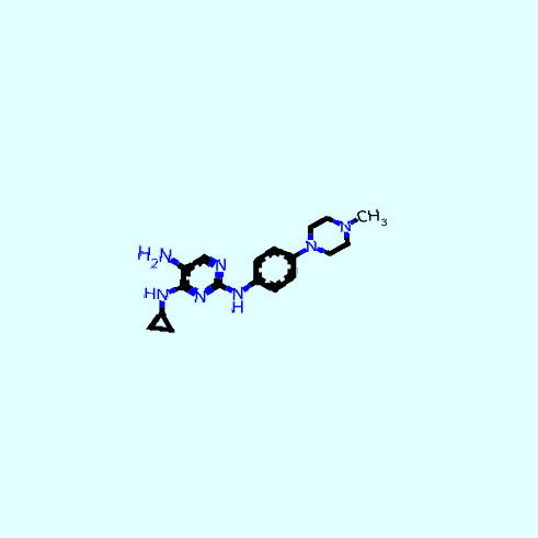 CN1CCN(c2ccc(Nc3ncc(N)c(NC4CC4)n3)cc2)CC1